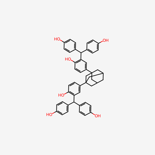 Oc1ccc(C(c2ccc(O)cc2)c2cc(C34CC5CC(C3)CC(c3ccc(O)c(C(c6ccc(O)cc6)c6ccc(O)cc6)c3)(C5)C4)ccc2O)cc1